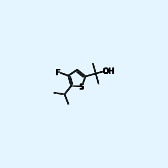 CC(C)c1sc(C(C)(C)O)cc1F